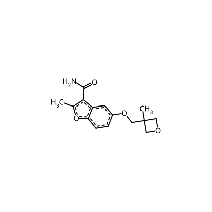 Cc1oc2ccc(OCC3(C)COC3)cc2c1C(N)=O